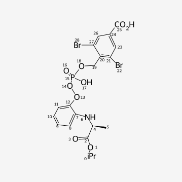 CC(C)OC(=O)[C@H](C)Nc1ccccc1OOP(=O)(O)OCc1c(Br)cc(C(=O)O)cc1Br